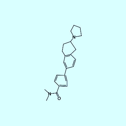 CN(C)C(=O)c1ccc(-c2ccc3c(c2)CCC(N2CCCC2)C3)cc1